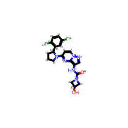 O=C(Nc1cnn2ccc(N3CCCC3c3cc(F)ccc3F)nc12)N1CC(O)C1